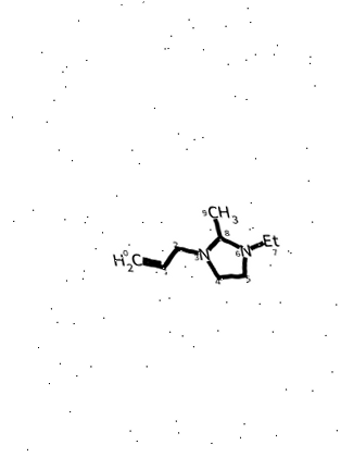 C=CCN1CCN(CC)C1C